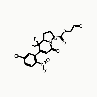 O=CCOC(=O)[C@@H]1CCC2N1C(=O)C=C(c1cc(Cl)ccc1[N+](=O)[O-])C2(F)F